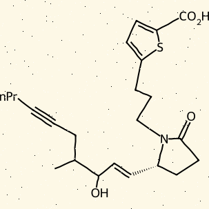 CCCC#CCC(C)C(O)/C=C/[C@H]1CCC(=O)N1CCCc1ccc(C(=O)O)s1